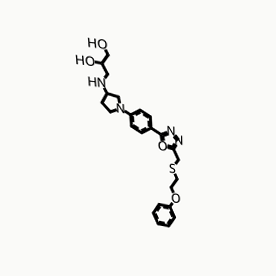 OCC(O)CNC1CCN(c2ccc(-c3nnc(CSCCOc4ccccc4)o3)cc2)C1